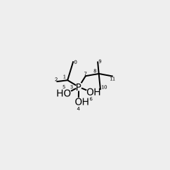 CC(C)P(O)(O)(O)CC(C)(C)C